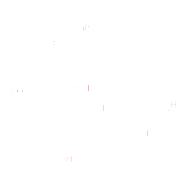 CC(C)CCCCC(=O)O.CC(C)CCCCCC(=O)O.OCC(CO)(CO)CO